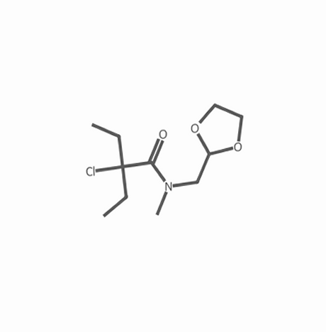 CCC(Cl)(CC)C(=O)N(C)CC1OCCO1